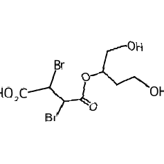 O=C(O)C(Br)C(Br)C(=O)OC(CO)CCO